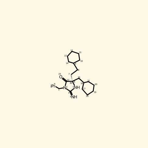 CC(C)CN1C(=N)N[C@](CCC2CCCCC2)(CC2CCCCC2)C1=O